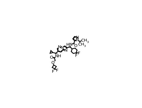 CC(C)n1nccc1C(=O)N[C@H](c1cn2ncc([C@H](NC(=O)COC3CC(F)(F)C3)C3CC3)cc2n1)C1CCC(F)(F)CC1